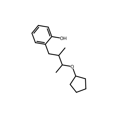 CC(Cc1ccccc1O)C(C)OC1CCCC1